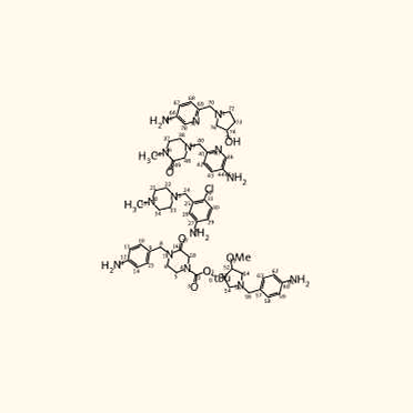 CC(C)(C)OC(=O)N1CCN(Cc2ccc(N)cc2)C(=O)C1.CN1CCN(Cc2cc(N)ccc2Cl)CC1.CN1CCN(Cc2ccc(N)cn2)CC1=O.COC1CCN(Cc2ccc(N)cc2)C1.Nc1ccc(CN2CCC(O)C2)nc1